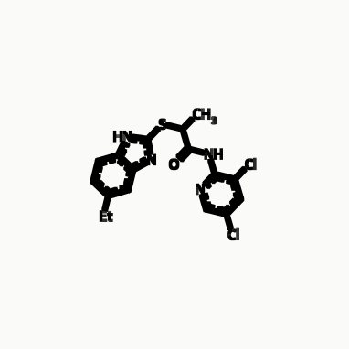 CCc1ccc2[nH]c(SC(C)C(=O)Nc3ncc(Cl)cc3Cl)nc2c1